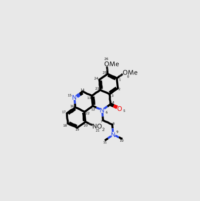 COc1cc2c(=O)n(CCN(C)C)c3c(cnc4cccc([N+](=O)[O-])c43)c2cc1OC